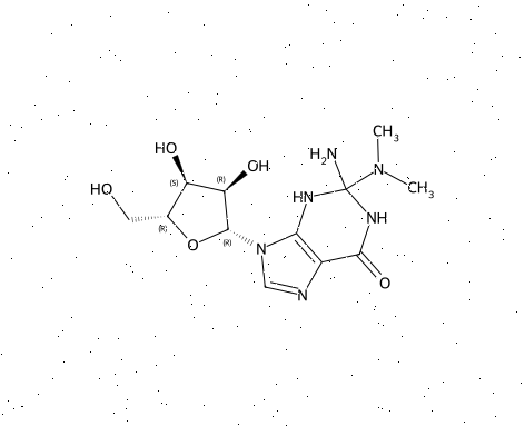 CN(C)C1(N)NC(=O)c2ncn([C@@H]3O[C@H](CO)[C@@H](O)[C@H]3O)c2N1